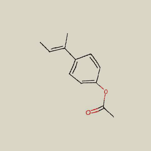 CC=C(C)c1ccc(OC(C)=O)cc1